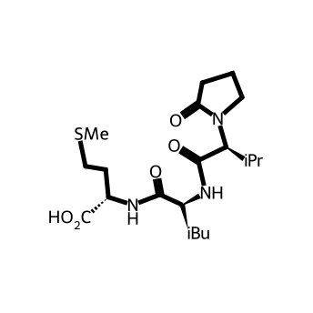 CC[C@H](C)[C@H](NC(=O)[C@H](C(C)C)N1CCCC1=O)C(=O)N[C@@H](CCSC)C(=O)O